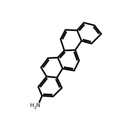 Nc1ccc2c(ccc3c2ccc2c4ccccc4ccc23)c1